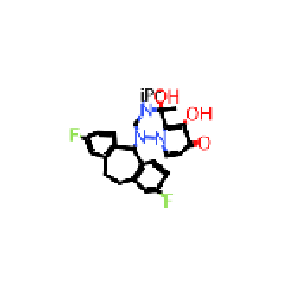 CC(C)N1CN(C2c3ccc(F)cc3CCc3cc(F)ccc32)n2ccc(=O)c(O)c2C1(C)O